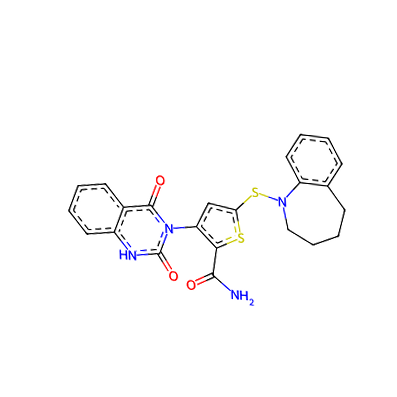 NC(=O)c1sc(SN2CCCCc3ccccc32)cc1-n1c(=O)[nH]c2ccccc2c1=O